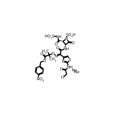 CC(C)(ON=C(C(=O)N[C@@H]1C(=O)N(S(=O)(=O)O)[C@@H]1C(=O)NS(=O)(=O)O)c1csc(NC(=O)CCl)n1)C(=O)OCc1ccc([N+](=O)[O-])cc1.[Na].[Na]